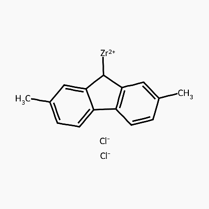 Cc1ccc2c(c1)[CH]([Zr+2])c1cc(C)ccc1-2.[Cl-].[Cl-]